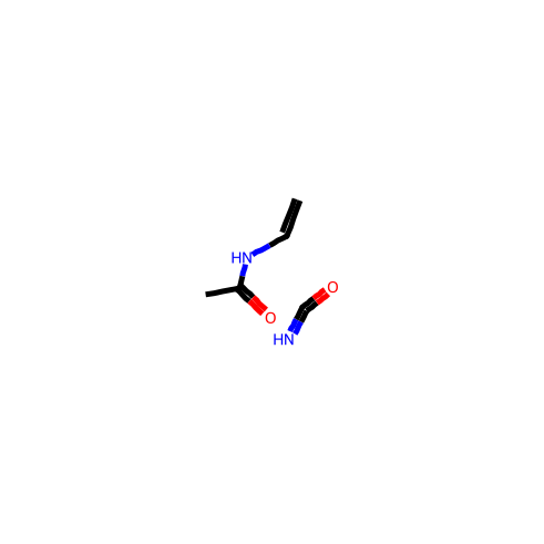 C=CNC(C)=O.N=C=O